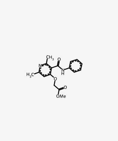 COC(=O)COc1cc(C)nc(C)c1C(=O)Nc1ccccc1